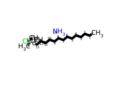 CCCCCCCCCCCCC[CH2][Pd]([CH3])([CH3])([CH3])[Cl].N